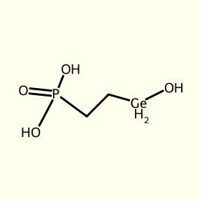 O=P(O)(O)C[CH2][GeH2][OH]